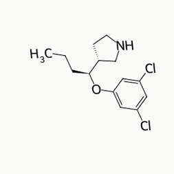 CCC[C@H](Oc1cc(Cl)cc(Cl)c1)[C@@H]1CCNC1